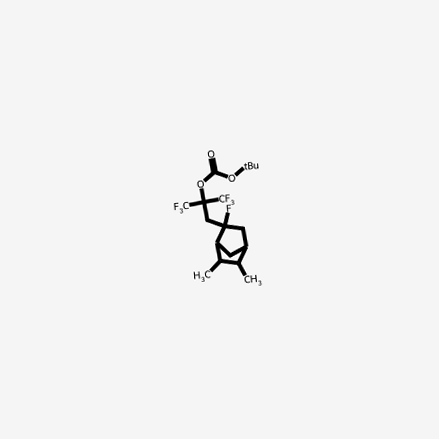 CC1C2CC(C1C)C(F)(CC(OC(=O)OC(C)(C)C)(C(F)(F)F)C(F)(F)F)C2